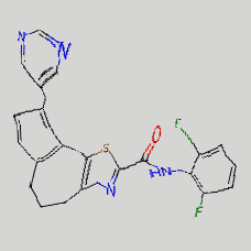 O=C(Nc1c(F)cccc1F)c1nc2c(s1)-c1cc(-c3cncnc3)ccc1CCC2